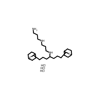 Cl.Cl.Cl.NCCCNCCCNC(CCCC1CC2CCC1CC2)CCCC1CC2CCC1CC2